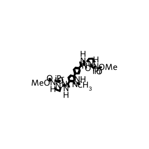 COC(=O)N[C@H](C(=O)N1CCC[C@H]1C1=NC(c2ccc(-c3ccc(-c4c[nH]c([C@@H]5CCCN5C(=O)[C@@H](NC(=O)OC)C(C)C)n4)cc3)c3[nH]c(C)nc23)CN1)C(C)C